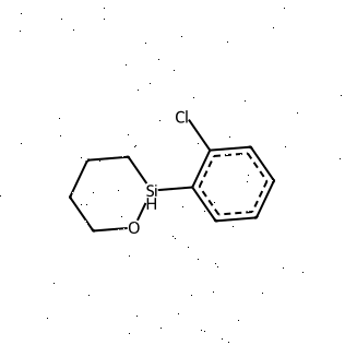 Clc1ccccc1[SiH]1CCCCO1